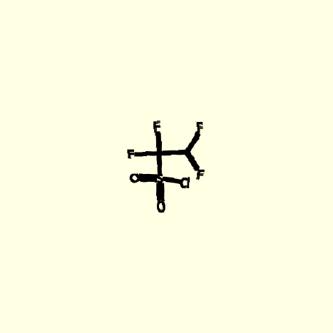 O=S(=O)(Cl)C(F)(F)C(F)F